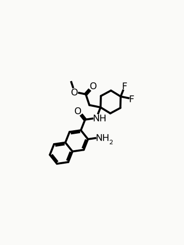 COC(=O)CC1(NC(=O)c2cc3ccccc3cc2N)CCC(F)(F)CC1